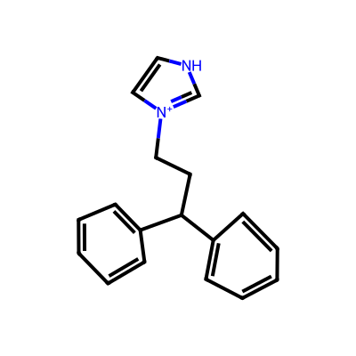 c1ccc(C(CC[n+]2cc[nH]c2)c2ccccc2)cc1